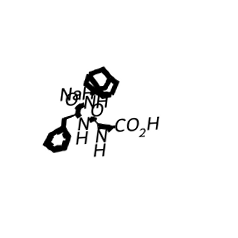 O=C(NC12CC3CC(CC(C3)C1)C2)[C@H](Cc1ccccc1)NC(=O)[C@H]1N[C@@H]1C(=O)O.[NaH]